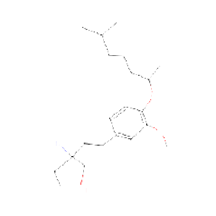 CCC(N)(CO)CCc1ccc(OC(C)CCCC(C)C)c(OC)c1